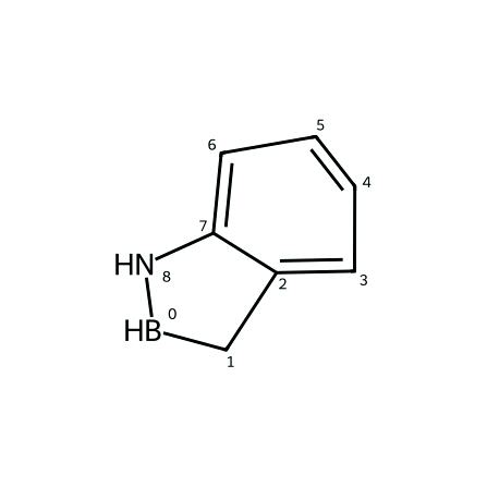 B1Cc2ccccc2N1